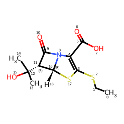 CCSC1=C(C(=O)O)N2C(=O)[C@@H](C(C)(C)O)[C@H]2S1